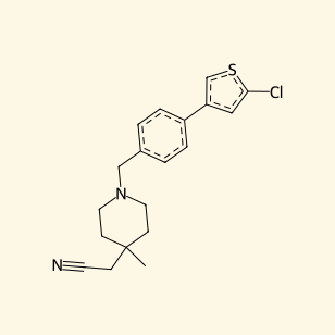 CC1(CC#N)CCN(Cc2ccc(-c3csc(Cl)c3)cc2)CC1